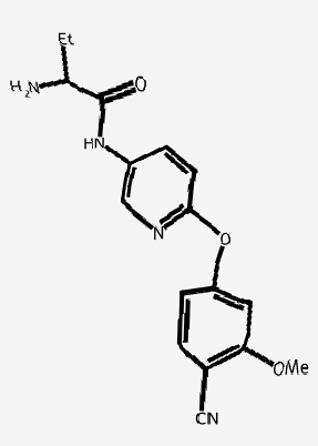 CCC(N)C(=O)Nc1ccc(Oc2ccc(C#N)c(OC)c2)nc1